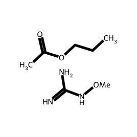 CCCOC(C)=O.CONC(=N)N